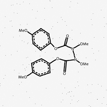 COc1ccc(OC(=O)N(OC)N(OC)C(=O)Oc2ccc(OC)cc2)cc1